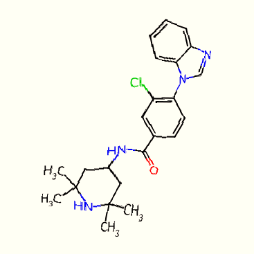 CC1(C)CC(NC(=O)c2ccc(-n3cnc4ccccc43)c(Cl)c2)CC(C)(C)N1